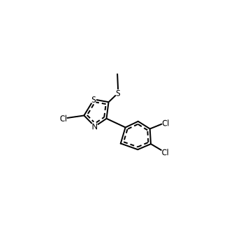 CSc1sc(Cl)nc1-c1ccc(Cl)c(Cl)c1